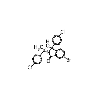 C[C@@H](c1ccc(Cl)cc1)N1C(=O)c2cc(Br)ccc2[C@@]1(O)c1ccc(Cl)cc1